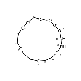 C1CCCCCCOOOONNCCCCC1